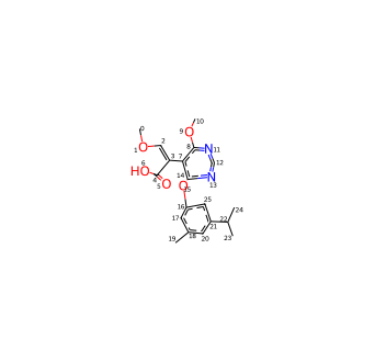 CO/C=C(\C(=O)O)c1c(OC)ncnc1Oc1cc(C)cc(C(C)C)c1